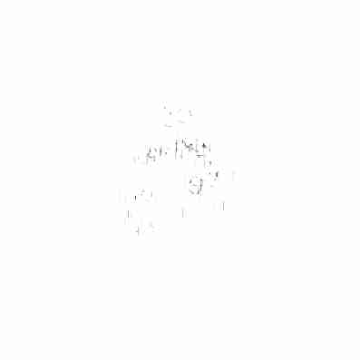 CC[C@H]1OC(=O)[C@H](C)[C@@H](O[C@H]2C[C@@](C)(OC)[C@@H](O)[C@H](C)O2)[C@H](C)[C@@H](O[C@@H]2O[C@H](C)C[C@H](N(C)CCc3cn(CCOc4ccnc5ccccc45)nn3)[C@H]2O)[C@](C)(O)C[C@@H](C)CN(C)[C@H](C)[C@@H](O)[C@]1(C)O